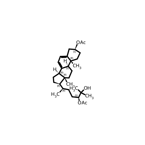 CC(=O)O[C@H]1CC[C@@]2(C)C(=CC=C3[C@@H]4CC[C@H]([C@H](C)CC[C@H](OC(C)=O)C(C)(C)O)[C@@]4(C)CC[C@@H]32)C1